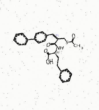 CC(=O)SC/C(=C/c1ccc(-c2ccccc2)cc1)C(=O)N[C@@H](CCc1ccccc1)C(=O)O